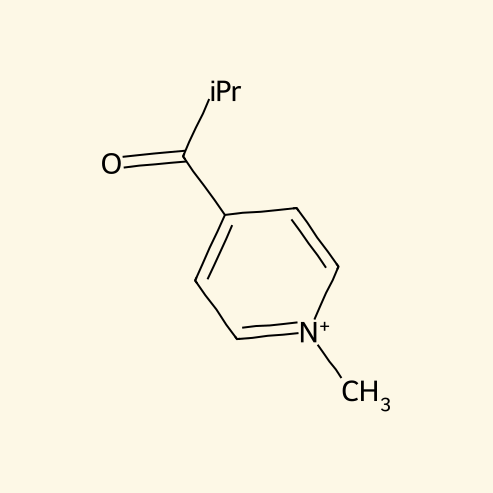 CC(C)C(=O)c1cc[n+](C)cc1